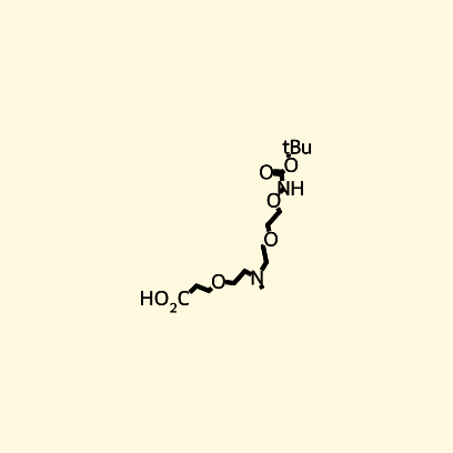 CN(CCOCCONC(=O)OC(C)(C)C)CCOCCC(=O)O